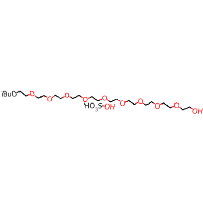 CC(C)COCCOCCOCCOCCOCCOCCOCCOCCOCCOCCO.O=S(=O)(O)O